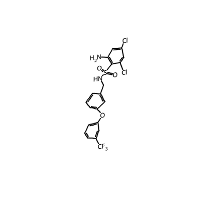 Nc1cc(Cl)cc(Cl)c1S(=O)(=O)NCc1cccc(Oc2cccc(C(F)(F)F)c2)c1